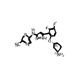 N#Cc1cnc(Nc2cc(-c3c(O[C@@H]4CC[C@H](N)C4)ccc(F)c3F)[nH]n2)cn1